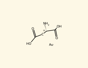 N[C@@H](CC(=O)O)C(=O)O.[Au]